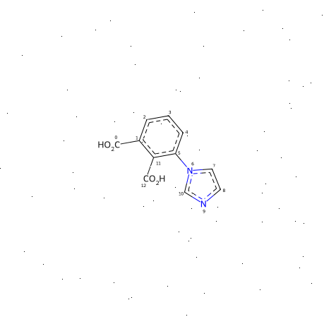 O=C(O)c1cccc(-n2ccnc2)c1C(=O)O